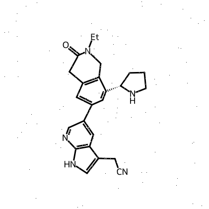 CCN1Cc2c(cc(-c3cnc4[nH]cc(CC#N)c4c3)cc2[C@@H]2CCCN2)CC1=O